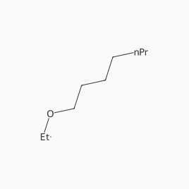 C[CH]OCCCCCCC